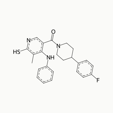 Cc1c(S)ncc(C(=O)N2CCC(c3ccc(F)cc3)CC2)c1Nc1ccccc1